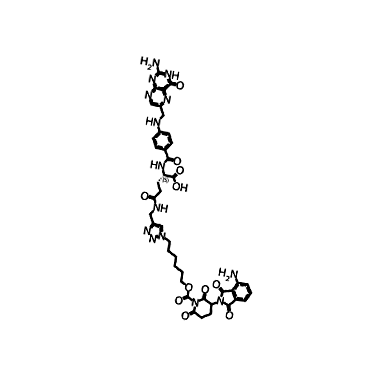 Nc1nc2ncc(CNc3ccc(C(=O)N[C@@H](CCC(=O)NCc4cn(CCCCCCOC(=O)N5C(=O)CCC(N6C(=O)c7cccc(N)c7C6=O)C5=O)nn4)C(=O)O)cc3)nc2c(=O)[nH]1